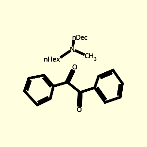 CCCCCCCCCCN(C)CCCCCC.O=C(C(=O)c1ccccc1)c1ccccc1